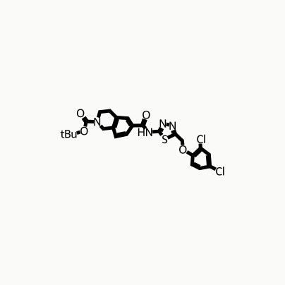 CC(C)(C)OC(=O)N1CCc2cc(C(=O)Nc3nnc(COc4ccc(Cl)cc4Cl)s3)ccc2C1